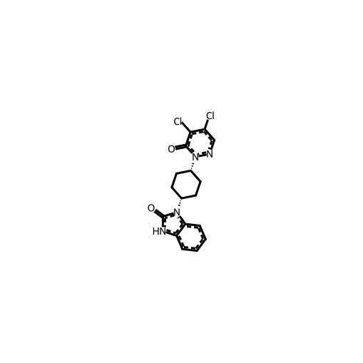 O=c1c(Cl)c(Cl)cnn1[C@H]1CC[C@@H](n2c(=O)[nH]c3ccccc32)CC1